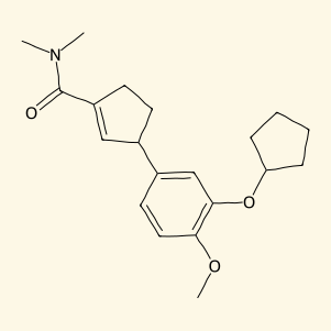 COc1ccc(C2C=C(C(=O)N(C)C)CC2)cc1OC1CCCC1